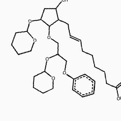 O=C(O)CCCCC/C=C/CC1C(O)CC(OC2CCCCO2)C1OCC(COc1ccccc1)OC1CCCCO1